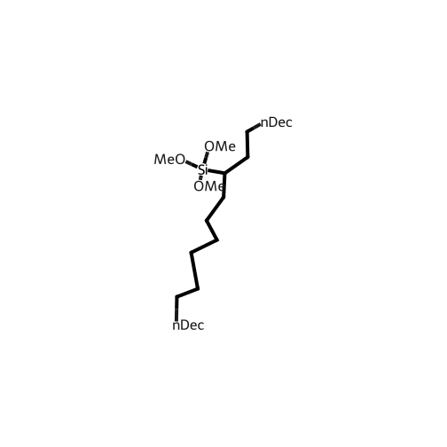 CCCCCCCCCCCCCCCCC(CCCCCCCCCCCC)[Si](OC)(OC)OC